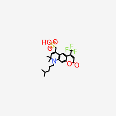 CC(C)CCCN1c2cc3oc(=O)cc(C(F)(F)F)c3cc2C(CS(=O)(=O)O)=CC1(C)C